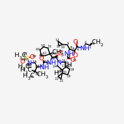 C=CCNC(=O)C(=O)C(CC1CC1)NC(=O)[C@@H]1[C@H]2CCC3(CC3)[C@H]2CN1C(=O)[C@@H](NC(=O)N[C@H](CN(C)S(C)(=O)=O)C(C)(C)C)C1(C)CCCCC1